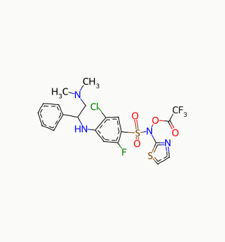 CN(C)CC(Nc1cc(F)c(S(=O)(=O)N(OC(=O)C(F)(F)F)c2nccs2)cc1Cl)c1ccccc1